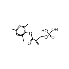 C=C(COP(=O)(O)O)C(=O)Oc1c(C)cc(C)cc1C